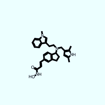 Cc1cc(CN(CCc2cn(C)c3ccccc23)C2CCc3cc(C=CC(=O)NO)ccc32)c(C)[nH]1